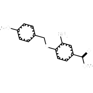 COC(=O)c1ccc(SCc2ccc(OC)cc2)c(N)c1